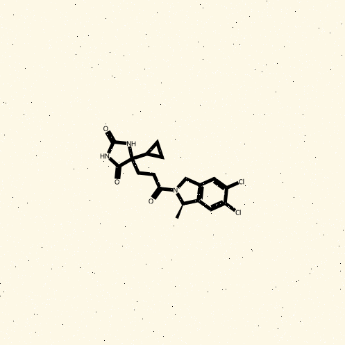 C[C@@H]1c2cc(Cl)c(Cl)cc2CN1C(=O)CCC1(C2CC2)NC(=O)NC1=O